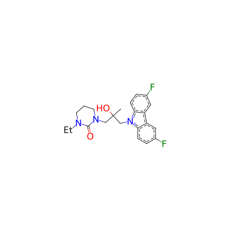 CCN1CCCN(CC(C)(O)Cn2c3ccc(F)cc3c3cc(F)ccc32)C1=O